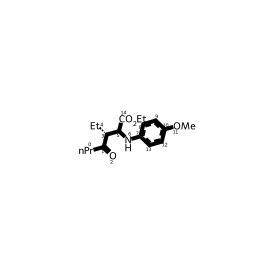 CCCC(=O)[C@H](CC)C(Nc1ccc(OC)cc1)C(=O)OCC